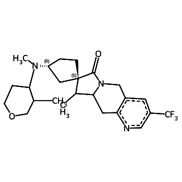 CC1COCCC1N(C)[C@@H]1CC[C@@]2(C1)C(=O)N1Cc3cc(C(F)(F)F)cnc3CC1C2C